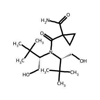 CC(C)(C)[C@@H](CO)N(C(=O)C1(C(N)=O)CC1)[C@H](CO)C(C)(C)C